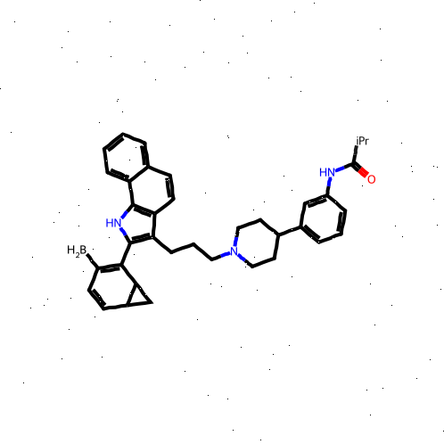 BC1=C(c2[nH]c3c(ccc4ccccc43)c2CCCN2CCC(c3cccc(NC(=O)C(C)C)c3)CC2)C2CC2C=C1